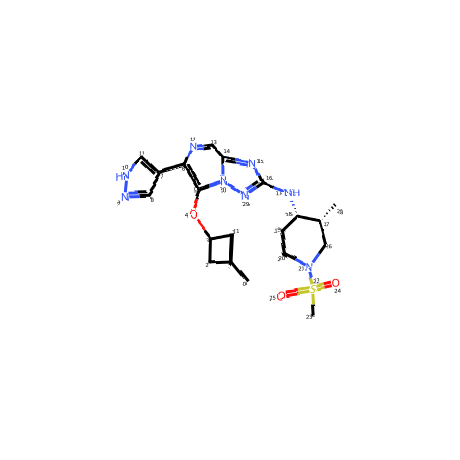 CC1CC(Oc2c(-c3cn[nH]c3)ncc3nc(N[C@H]4CCN(S(C)(=O)=O)C[C@H]4C)nn23)C1